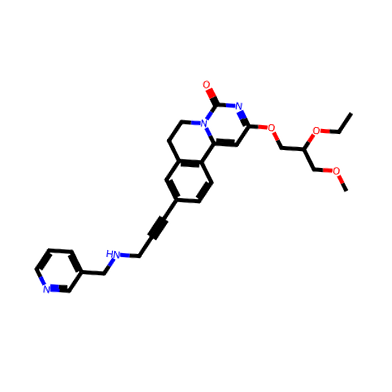 CCOC(COC)COc1cc2n(c(=O)n1)CCc1cc(C#CCNCc3cccnc3)ccc1-2